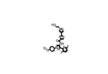 CCOC1CCC(n2cc(NC(=O)c3csc(-c4cnn(CCO)c4)n3)c(-c3nc(F)ccc3F)n2)CC1